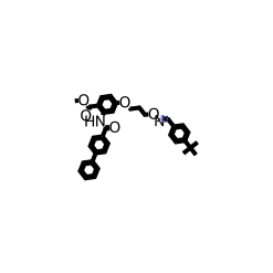 COC(=O)c1ccc(OCCCO/N=C/c2ccc(C(C)(C)C)cc2)cc1NC(=O)c1ccc(-c2ccccc2)cc1